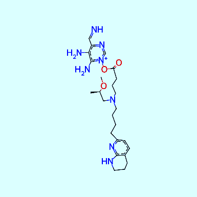 CO[C@H](C)CN(CCCCc1ccc2c(n1)NCCC2)CCCC(=O)O[n+]1cnc(C=N)c(N)c1N